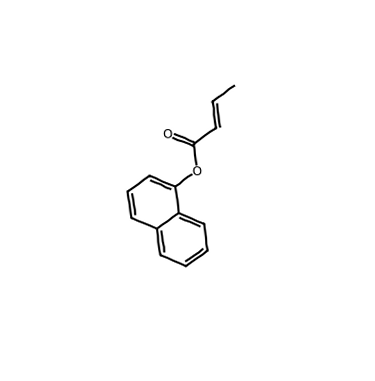 C/C=C/C(=O)Oc1cccc2ccccc12